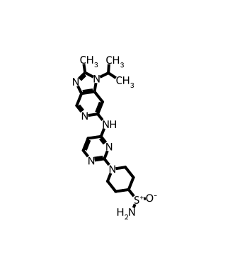 Cc1nc2cnc(Nc3ccnc(N4CCC([S+](N)[O-])CC4)n3)cc2n1C(C)C